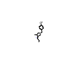 CC/C=C1\CN(Cc2ccc(OC)cc2)CC1C